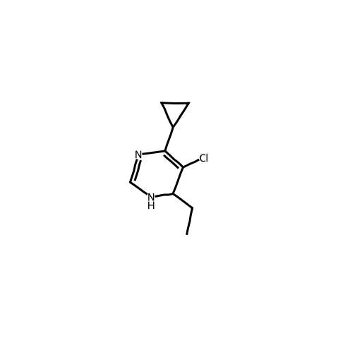 CCC1NC=NC(C2CC2)=C1Cl